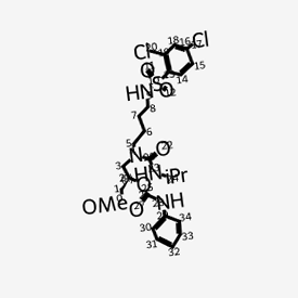 COC[C@@H](CN(CCCCNS(=O)(=O)c1ccc(Cl)cc1Cl)C(=O)NC(C)C)OC(=O)Nc1ccccc1